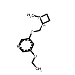 CCOc1cncc(OC[C@@H]2CCN2C)c1